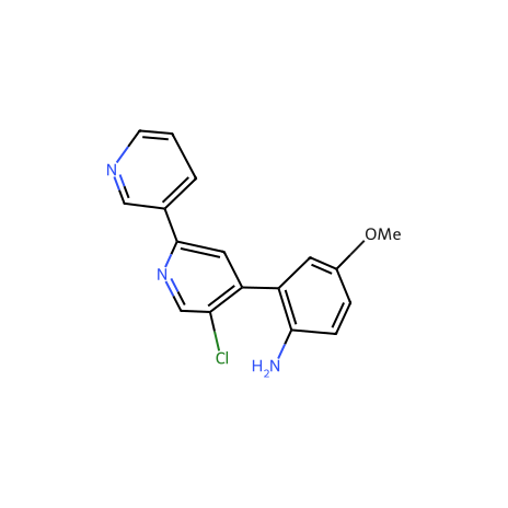 COc1ccc(N)c(-c2cc(-c3cccnc3)ncc2Cl)c1